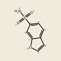 NS(=O)(=O)c1ccc2ccoc2c1